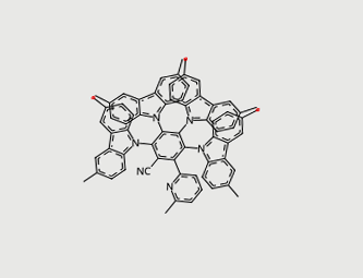 Cc1ccc2c(c1)c1cc(C)ccc1n2-c1c(C#N)c(-c2cccc(C)n2)c(-n2c3ccc(C)cc3c3cc(C)ccc32)c(-n2c3ccc(C)cc3c3cc(C)ccc32)c1-n1c2ccc(C)cc2c2cc(C)ccc21